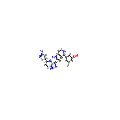 Oc1cc(F)cc(-c2nccc3[nH]c(-c4n[nH]c5ccc(-c6cn[nH]c6)nc45)cc23)c1